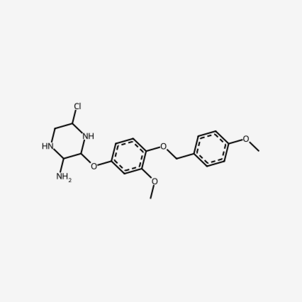 COc1ccc(COc2ccc(OC3NC(Cl)CNC3N)cc2OC)cc1